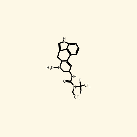 CN1CC(NC(=O)N(CC(F)(F)F)C(F)(F)C(F)(F)F)C=C2c3cccc4[nH]cc(c34)CC21